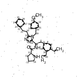 C=Cc1ccc(C[C@@H](NC(=O)C2CCCN2)c2nnc(CCc3ccccc3)n2Cc2ccc(OC)cc2)cc1C=C